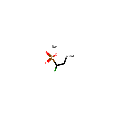 CCCCCCC(F)S(=O)(=O)[O-].[Na+]